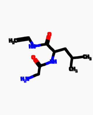 C=CNC(=O)C(CC(C)C)NC(=O)CN